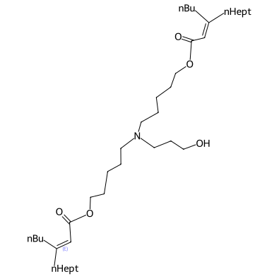 CCCCCCCC(=CC(=O)OCCCCCN(CCCO)CCCCCOC(=O)/C=C(\CCCC)CCCCCCC)CCCC